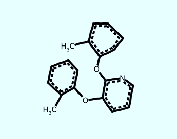 Cc1ccccc1Oc1cccnc1Oc1ccccc1C